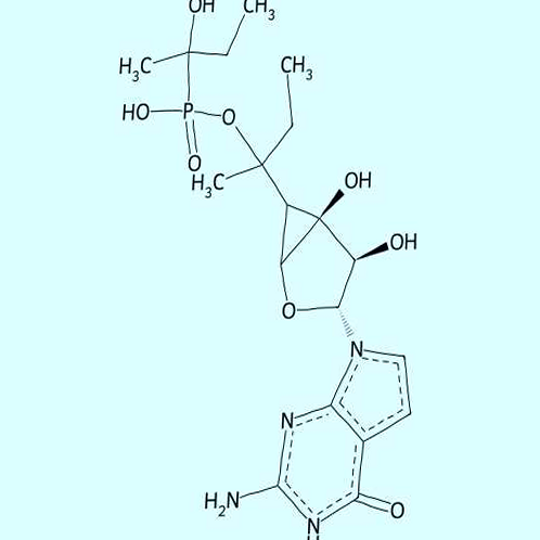 CCC(C)(OP(=O)(O)C(C)(O)CC)C1C2O[C@@H](n3ccc4c(=O)[nH]c(N)nc43)[C@H](O)[C@]21O